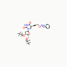 CC(C)(C)[Si](C)(C)OC[C@H]1O[C@@H](n2cc(C#CCONCc3ccccc3)c(=O)[nH]c2=O)CC1O[Si](C)(C)C(C)(C)C